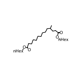 CCCCCCOC(=O)CCCCCCCCCC(C)CCC(=O)OCCCCCC